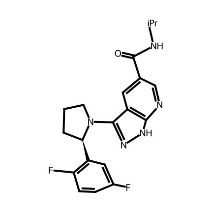 CC(C)NC(=O)c1cnc2[nH]nc(N3CCC[C@@H]3c3cc(F)ccc3F)c2c1